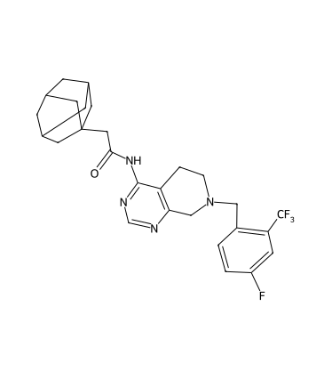 O=C(CC12CC3CC(CC(C3)C1)C2)Nc1ncnc2c1CCN(Cc1ccc(F)cc1C(F)(F)F)C2